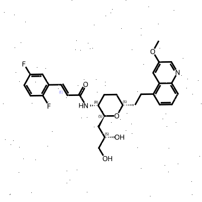 COc1cnc2cccc(CC[C@H]3CC[C@@H](NC(=O)/C=C/c4cc(F)ccc4F)[C@H](C[C@H](O)CO)O3)c2c1